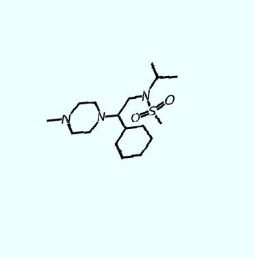 CC(C)N(CC(C1CCCCC1)N1CCN(C)CC1)S(C)(=O)=O